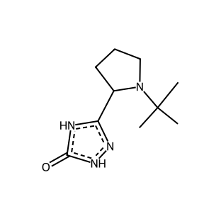 CC(C)(C)N1CCCC1c1n[nH]c(=O)[nH]1